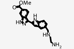 COC(=O)c1ccc2c(-c3cc4cc(CNCCN)ccc4[nH]3)n[nH]c2c1